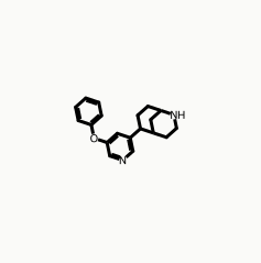 c1ccc(Oc2cncc(C3CCC4CC3CCN4)c2)cc1